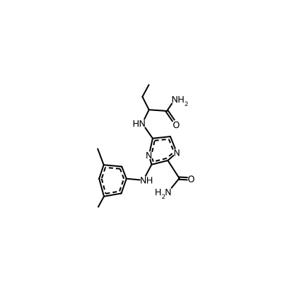 CCC(Nc1cnc(C(N)=O)c(Nc2cc(C)cc(C)c2)n1)C(N)=O